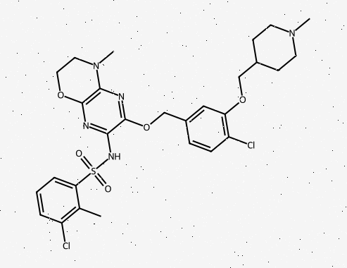 Cc1c(Cl)cccc1S(=O)(=O)Nc1nc2c(nc1OCc1ccc(Cl)c(OCC3CCN(C)CC3)c1)N(C)CCO2